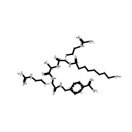 CCCCCCCCCCCCCCCCCC(=O)N[C@@H](CCCNC(=N)N)C(=O)NC(C(=O)N[C@@H](CCCNC(=N)N)C(=O)NCc1ccc(C(=N)N)cc1)C(C)C